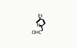 CCc1ccc(CC=O)nc1